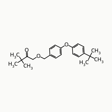 CC(C)(C)C(=O)COCc1ccc(Oc2ccc(C(C)(C)C)cc2)cc1